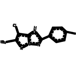 Cc1ccc(-c2nn3nc(C(C)(C)C)c(Cl)c3[nH]2)cc1